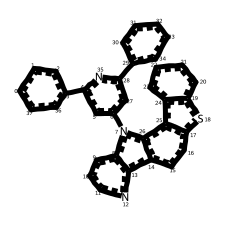 c1ccc(-c2cc(-n3c4cccnc4c4ccc5sc6ccccc6c5c43)cc(-c3ccccc3)n2)cc1